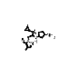 C=Nc1c(C)cnn1CC(N[C@H]1CC[C@H](N)C1)[C@H](C)C1CC1